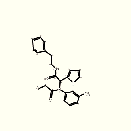 Nc1cccc(N(C(=O)CCl)C(C(=O)NCCc2ccccc2)c2cccs2)c1